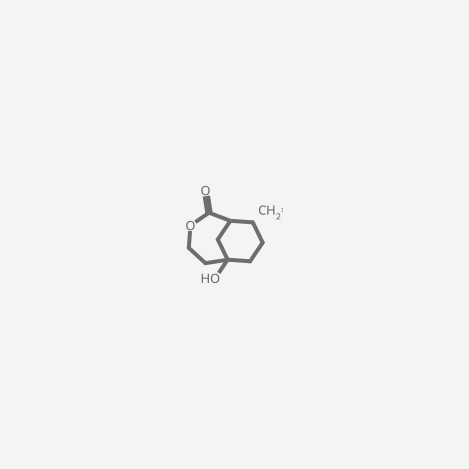 O=C1OCCC2(O)CCCC1C2.[CH2]